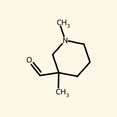 CN1CCCC(C)(C=O)C1